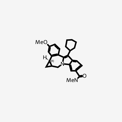 CNC(=O)c1ccc2c(C3CCCCC3)c3n(c2c1)CC1C[C@H]1c1cc(OC)ccc1-3